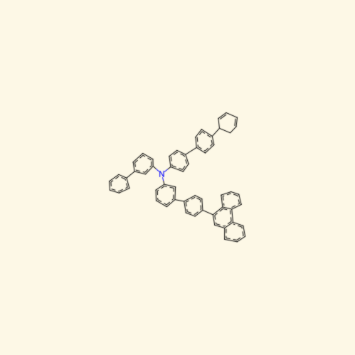 C1=CCC(c2ccc(-c3ccc(N(c4cccc(-c5ccccc5)c4)c4cccc(-c5ccc(-c6cc7ccccc7c7ccccc67)cc5)c4)cc3)cc2)C=C1